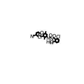 Cc1cc(NC(=O)NC(=O)c2c(Cl)cccc2Cl)c(C)c(Cl)c1Oc1ccc(C#N)cn1